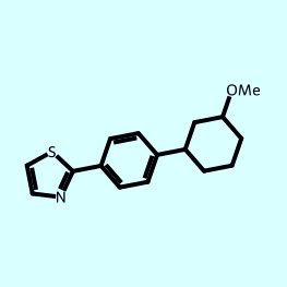 COC1CCCC(c2ccc(-c3nccs3)cc2)C1